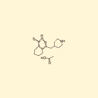 CC(=O)O.O=c1[nH]nc(CC2CCNCC2)c2c1CCCC2